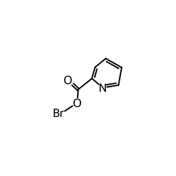 O=C(OBr)c1ccccn1